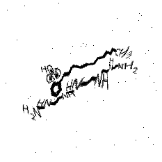 CCCCCCCCCCCCc1ccccc1S(=O)(=O)O.NCCNCCNCCNCCNCCNCCN